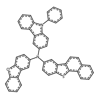 c1ccc(-n2c3ccccc3c3cc(N(c4ccc5oc6ccccc6c5c4)c4ccc5sc6c7ccccc7ccc6c5c4)ccc32)cc1